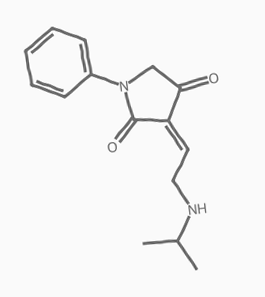 CC(C)NCC=C1C(=O)CN(c2ccccc2)C1=O